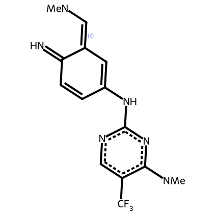 CN/C=C1/C=C(Nc2ncc(C(F)(F)F)c(NC)n2)C=CC1=N